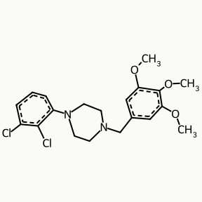 COc1cc(CN2CCN(c3cccc(Cl)c3Cl)CC2)cc(OC)c1OC